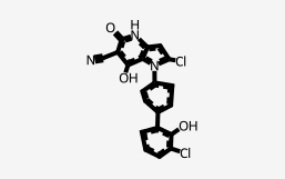 N#Cc1c(O)c2c(cc(Cl)n2-c2ccc(-c3cccc(Cl)c3O)cc2)[nH]c1=O